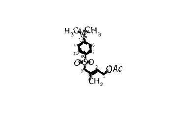 CC(=O)OCC=C(C)CS(=O)(=O)c1ccc(N(C)C)cc1